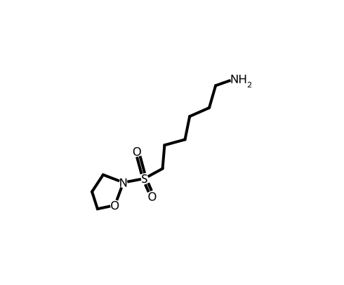 NCCCCCCS(=O)(=O)N1CCCO1